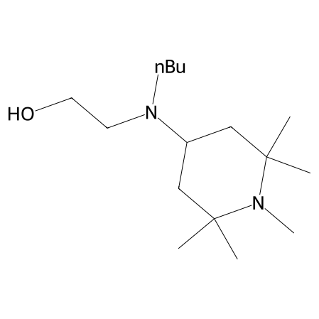 CCCCN(CCO)C1CC(C)(C)N(C)C(C)(C)C1